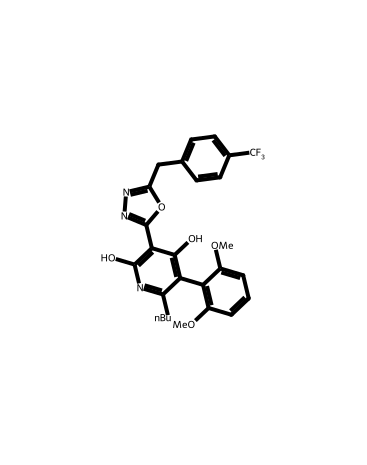 CCCCc1nc(O)c(-c2nnc(Cc3ccc(C(F)(F)F)cc3)o2)c(O)c1-c1c(OC)cccc1OC